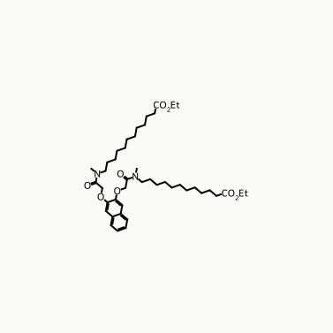 CCOC(=O)CCCCCCCCCCCN(C)C(=O)COc1cc2ccccc2cc1OCC(=O)N(C)CCCCCCCCCCCC(=O)OCC